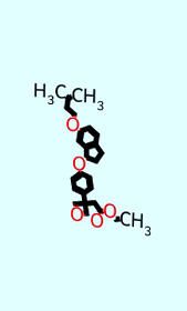 CCOC(=O)CC1(c2ccc(OC3CCc4ccc(OCCC(C)C)cc43)cc2)COC1